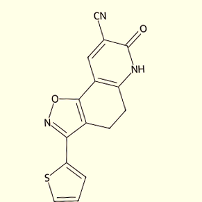 N#Cc1cc2c([nH]c1=O)CCc1c(-c3cccs3)noc1-2